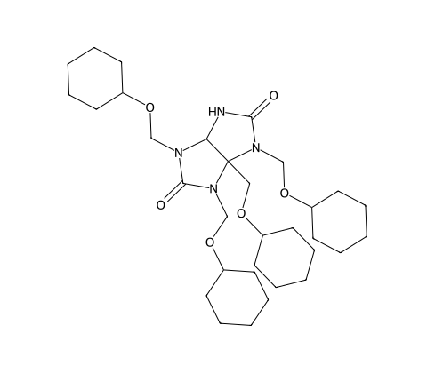 O=C1NC2N(COC3CCCCC3)C(=O)N(COC3CCCCC3)C2(COC2CCCCC2)N1COC1CCCCC1